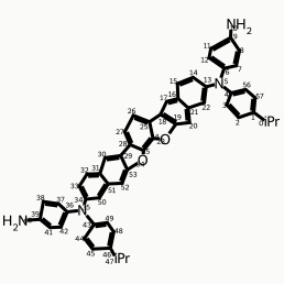 CC(C)c1ccc(N(c2ccc(N)cc2)c2ccc3cc4c(cc3c2)oc2c4ccc3c4cc5ccc(N(c6ccc(N)cc6)c6ccc(C(C)C)cc6)cc5cc4oc32)cc1